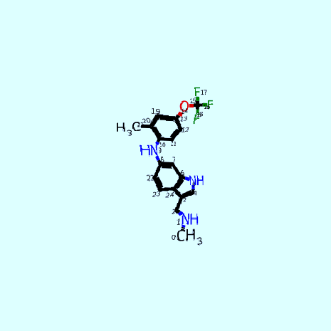 CNCc1c[nH]c2cc(Nc3ccc(OC(F)(F)F)cc3C)ccc12